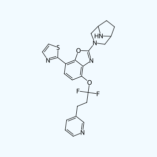 FC(F)(CCc1cccnc1)Oc1ccc(-c2nccs2)c2oc(N3CC4CCC(C3)N4)nc12